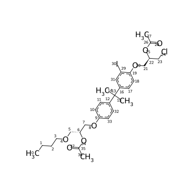 CCCCOC[C@H](COc1ccc(C(C)(C)c2ccc(OC[C@H](CCl)OC(C)=O)c(I)c2)cc1)OC(C)=O